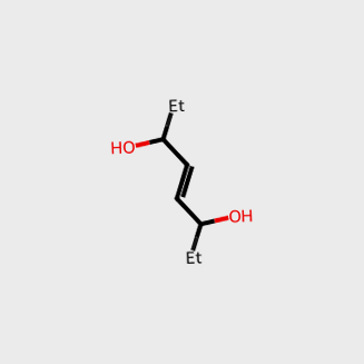 CCC(O)/C=C/C(O)CC